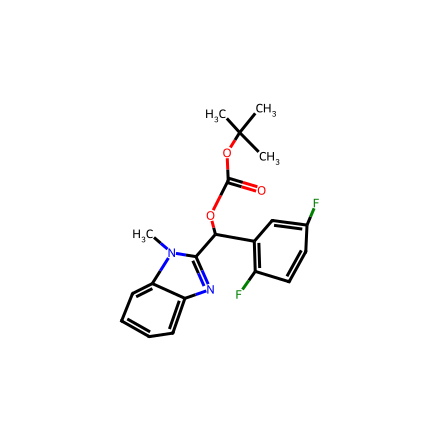 Cn1c(C(OC(=O)OC(C)(C)C)c2cc(F)ccc2F)nc2ccccc21